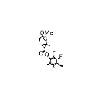 C#Cc1c(F)c(C)c(COC(=O)[C@@H]2[C@H](/C=C\C(=O)OC)C2(C)C)c(F)c1F